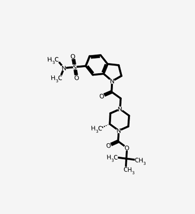 C[C@@H]1CN(CC(=O)N2CCc3ccc(S(=O)(=O)N(C)C)cc32)CCN1C(=O)OC(C)(C)C